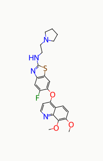 COc1ccc2c(Oc3cc4sc(NCCN5CCCC5)nc4cc3F)ccnc2c1OC